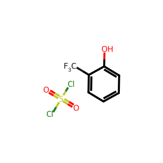 O=S(=O)(Cl)Cl.Oc1ccccc1C(F)(F)F